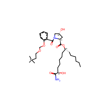 CCCCCC[C@H](CCCCC[C@@H](O)C(N)=O)OC(=O)[C@@H]1C[C@@H](O)CN1C(=O)c1ccccc1OCOCC[Si](C)(C)C